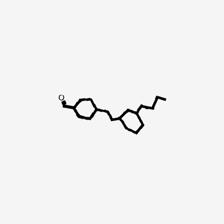 CCCCC1CCCC(CCC2CCC(C=O)CC2)C1